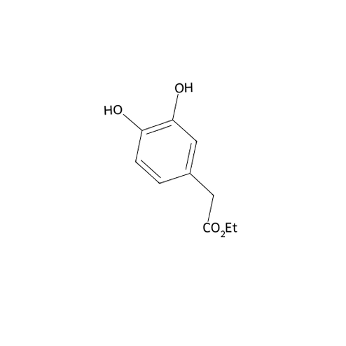 CCOC(=O)Cc1ccc(O)c(O)c1